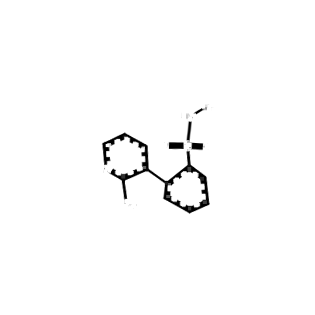 CC(C)NS(=O)(=O)c1ccccc1-c1cccnc1[N+](=O)[O-]